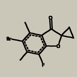 Cc1c(F)c2c(c(C)c1Br)C(=O)C1(CC1)O2